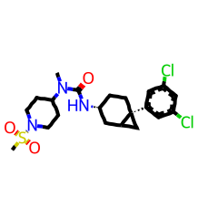 CN(C(=O)N[C@@H]1CC[C@@]2(c3cc(Cl)cc(Cl)c3)CC2C1)C1CCN(S(C)(=O)=O)CC1